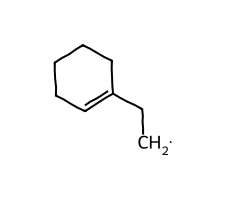 [CH2]CC1=CCCCC1